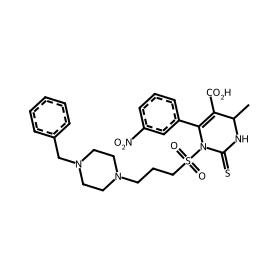 CC1NC(=S)N(S(=O)(=O)CCCN2CCN(Cc3ccccc3)CC2)C(c2cccc([N+](=O)[O-])c2)=C1C(=O)O